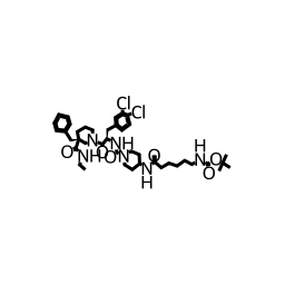 CCNC(=O)[C@]1(Cc2ccccc2)CCCN(C(=O)[C@@H](Cc2ccc(Cl)c(Cl)c2)NC(=O)N2CCC(NC(=O)CCCCCNC(=O)OC(C)(C)C)CC2)C1